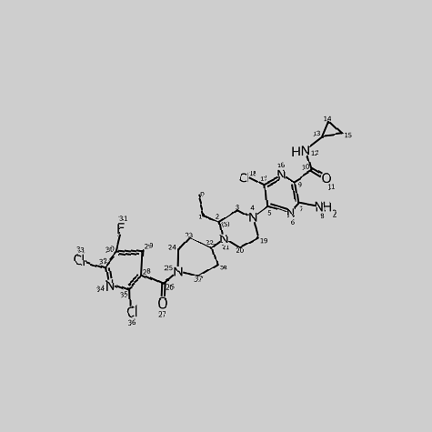 CC[C@H]1CN(c2nc(N)c(C(=O)NC3CC3)nc2Cl)CCN1C1CCN(C(=O)c2cc(F)c(Cl)nc2Cl)CC1